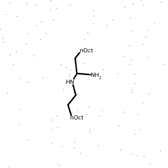 CCCCCCCCCCNC(N)CCCCCCCCC